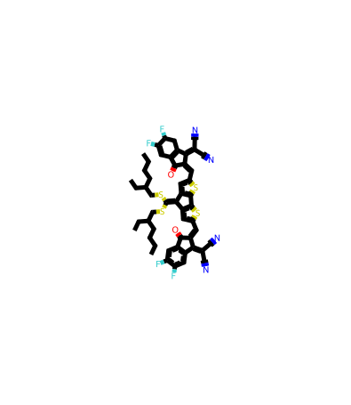 CCCCC(CC)CSC(SCC(CC)CCCC)=C1c2cc(/C=C3\C(=O)C4=C(CC(F)C(F)=C4)C3=C(C#N)C#N)sc2-c2sc(/C=C3\C(=O)c4cc(F)c(F)cc4C3=C(C#N)C#N)cc21